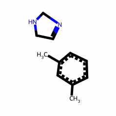 C1=NCNC1.Cc1cccc(C)c1